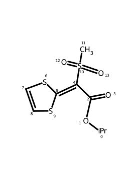 CC(C)OC(=O)C(=C1SC=CS1)S(C)(=O)=O